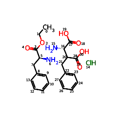 CCOC(=O)[C@@H](N)Cc1ccccc1.Cl.N[C@H](C(=O)O)C(Cc1ccccc1)C(=O)O